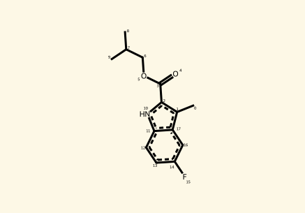 Cc1c(C(=O)OCC(C)C)[nH]c2ccc(F)cc12